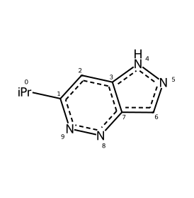 CC(C)c1cc2[nH]ncc2nn1